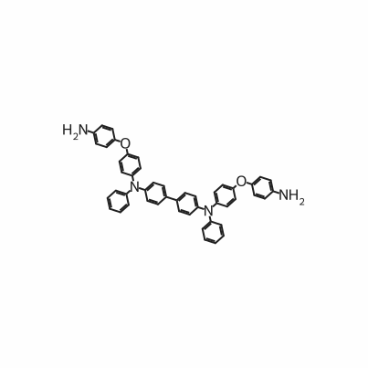 Nc1ccc(Oc2ccc(N(c3ccccc3)c3ccc(-c4ccc(N(c5ccccc5)c5ccc(Oc6ccc(N)cc6)cc5)cc4)cc3)cc2)cc1